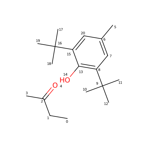 CCC(C)=O.Cc1cc(C(C)(C)C)c(O)c(C(C)(C)C)c1